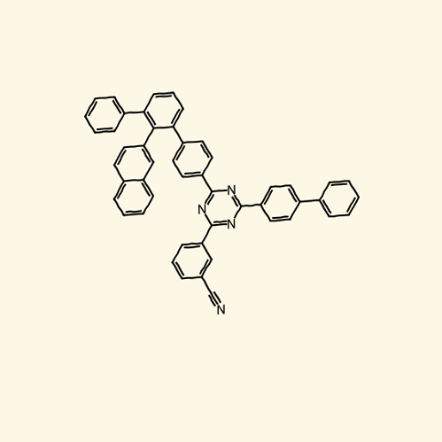 N#Cc1cccc(-c2nc(-c3ccc(-c4ccccc4)cc3)nc(-c3ccc(-c4cccc(-c5ccccc5)c4-c4ccc5ccccc5c4)cc3)n2)c1